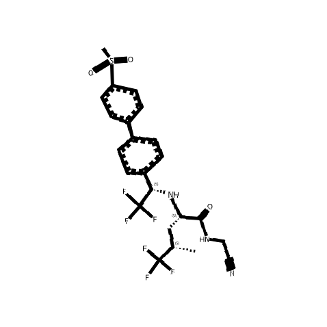 C[C@@H](C[C@H](N[C@@H](c1ccc(-c2ccc(S(C)(=O)=O)cc2)cc1)C(F)(F)F)C(=O)NCC#N)C(F)(F)F